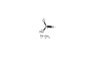 C.O=[N+]([O-])O.[Fe]